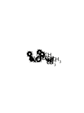 COC(=O)C(C)(C)CCOc1c(C)cc2cccnc2c1N1CCCN(Cc2ccn(-c3ccccc3)n2)CC1